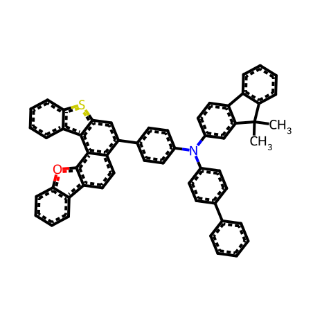 CC1(C)c2ccccc2-c2ccc(N(c3ccc(-c4ccccc4)cc3)c3ccc(-c4cc5sc6ccccc6c5c5c4ccc4c6ccccc6oc45)cc3)cc21